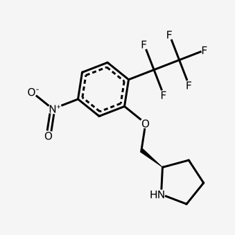 O=[N+]([O-])c1ccc(C(F)(F)C(F)(F)F)c(OC[C@H]2CCCN2)c1